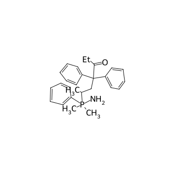 CCC(=O)C(CC(C)P(C)(C)(N)c1ccccc1)(c1ccccc1)c1ccccc1